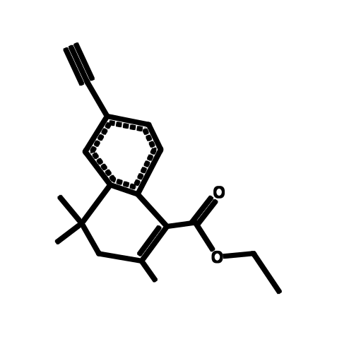 C#Cc1ccc2c(c1)C(C)(C)CC(C)=C2C(=O)OCC